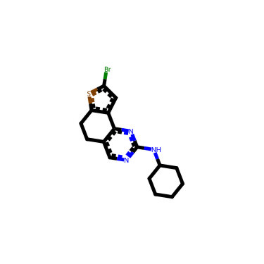 Brc1cc2c(s1)CCc1cnc(NC3CCCCC3)nc1-2